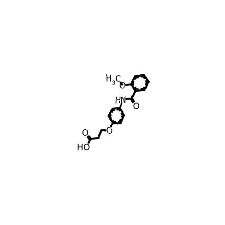 COc1ccccc1C(=O)Nc1ccc(OCCC(=O)O)cc1